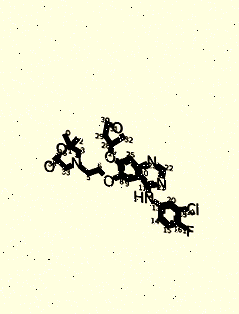 CC1(C)CN(CCOc2cc3c(Nc4ccc(F)c(Cl)c4)ncnc3cc2OC2CCOC2)CC(=O)O1